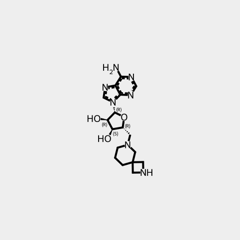 Nc1ncnc2c1ncn2[C@@H]1O[C@H](CN2CCCC3(CNC3)C2)[C@@H](O)[C@H]1O